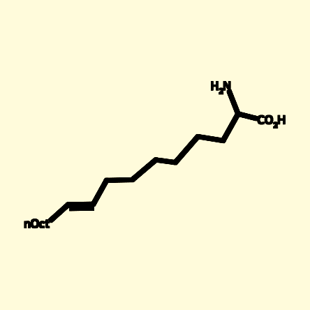 CCCCCCCCC=CCCCCCCC(N)C(=O)O